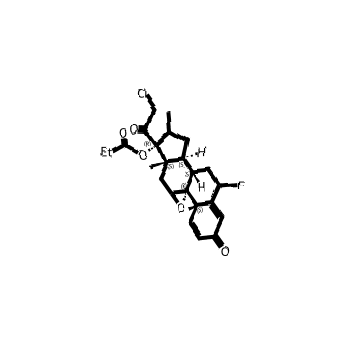 CCC(=O)O[C@]1(C(=O)CCl)C(C)C[C@H]2[C@@H]3CC(F)C4=CC(=O)C=C[C@]4(C)[C@]34OC4C[C@@]21C